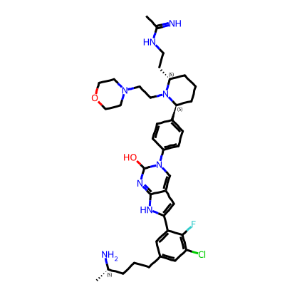 CC(=N)NCC[C@@H]1CCC[C@@H](c2ccc(N3C=c4cc(-c5cc(CCC[C@H](C)N)cc(Cl)c5F)[nH]c4=NC3O)cc2)N1CCN1CCOCC1